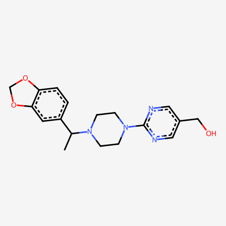 CC(c1ccc2c(c1)OCO2)N1CCN(c2ncc(CO)cn2)CC1